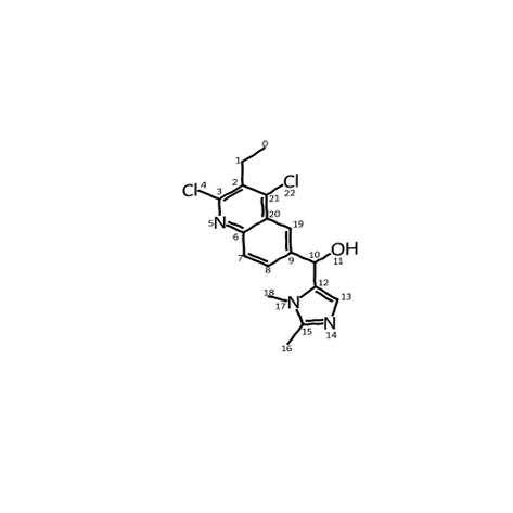 CCc1c(Cl)nc2ccc(C(O)c3cnc(C)n3C)cc2c1Cl